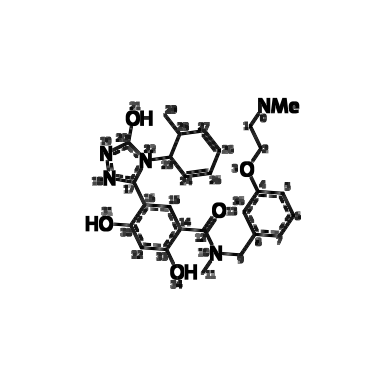 CNCCOc1cccc(CN(C)C(=O)c2cc(-c3nnc(O)n3C3C=CC=CC3C)c(O)cc2O)c1